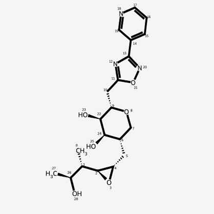 C[C@H]([C@@H]1O[C@H]1C[C@H]1CO[C@@H](Cc2nc(-c3cccnc3)no2)[C@H](O)[C@@H]1O)[C@H](C)O